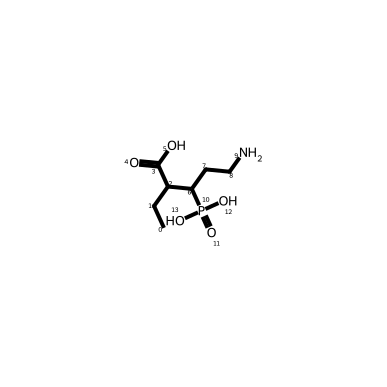 CCC(C(=O)O)C(CCN)P(=O)(O)O